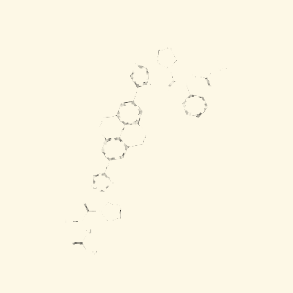 COC(=O)N[C@H](C(=O)N1[C@@H](C)CC[C@H]1c1ncc(-c2cc3c4c(c2)OCc2cc(-c5cnc([C@@H]6C[C@H](C)CN6C(=O)[C@H](NC(=O)OC)c6ccccc6)[nH]5)cc(c2-4)OC3)[nH]1)C(C)C